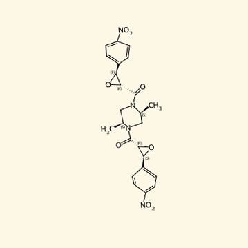 C[C@H]1CN(C(=O)[C@@H]2O[C@H]2c2ccc([N+](=O)[O-])cc2)[C@@H](C)CN1C(=O)[C@@H]1O[C@H]1c1ccc([N+](=O)[O-])cc1